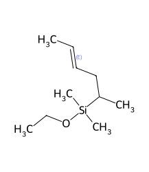 C/C=C/CC(C)[Si](C)(C)OCC